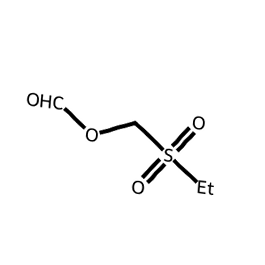 CCS(=O)(=O)COC=O